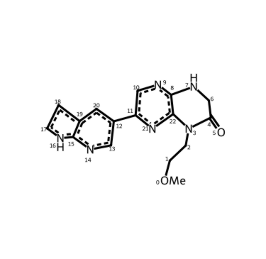 COCCN1C(=O)CNc2ncc(-c3cnc4[nH]ccc4c3)nc21